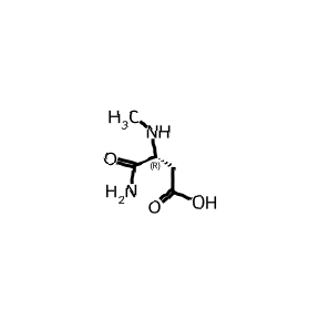 CN[C@H](CC(=O)O)C(N)=O